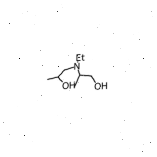 CCN(CC(C)O)C(C)CO